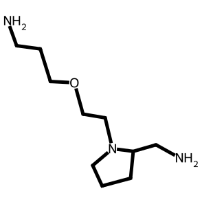 NCCCOCCN1CCCC1CN